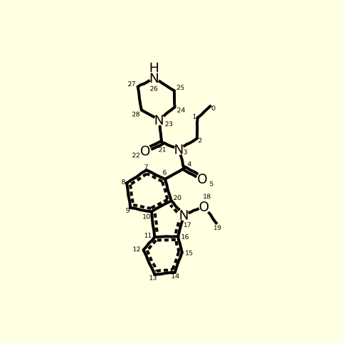 CCCN(C(=O)c1cccc2c3ccccc3n(OC)c12)C(=O)N1CCNCC1